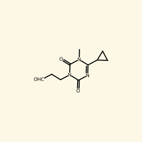 Cn1c(C2CC2)nc(=O)n(CCC=O)c1=O